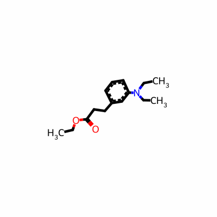 CCOC(=O)CCc1cccc(N(CC)CC)c1